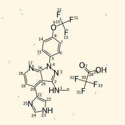 CNc1nn(-c2ccc(OC(F)(F)F)cc2)c2nccc(-c3c[nH]cn3)c12.O=C(O)C(F)(F)F